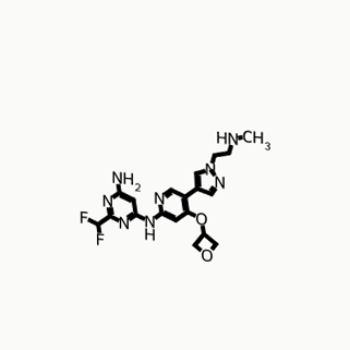 CNCCn1cc(-c2cnc(Nc3cc(N)nc(C(F)F)n3)cc2OC2COC2)cn1